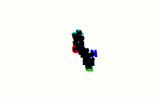 N#CC(=C1CCN(C(=O)N2CCC(C(F)(F)F)CC2)CC1)c1ccc(Cl)cn1